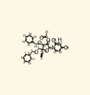 C#C[C@]1(COCc2ccccc2)O[C@@H](n2ccc(=O)[nH]c2=O)[C@H](OC(C)=O)[C@@H]1OCc1ccccc1